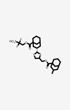 CC1CC2CCCC(C(=O)OCC3CSC([C@H]4CC5CCCC(C(=O)OCC(F)(F)S(=O)(=O)O)(C5)C4)S3)(C1)C2